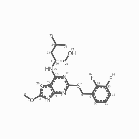 COc1nc2nc(SCc3cccc(F)c3F)nc(N[C@@H](CO)CC(C)C)c2s1